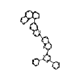 c1ccc(-c2cc(-c3ccc4ccc(-c5ccc6ccc(-c7cccc8ccc9ccccc9c78)cc6n5)cc4n3)nc(-c3ccccc3)n2)cc1